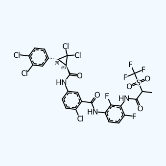 CC(C(=O)Nc1c(F)ccc(NC(=O)c2cc(NC(=O)[C@H]3[C@H](c4ccc(Cl)c(Cl)c4)C3(Cl)Cl)ccc2Cl)c1F)S(=O)(=O)C(F)(F)F